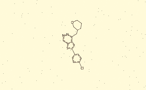 Clc1ccc(-c2cc3c(CC4CCCOC4)nncc3s2)cc1